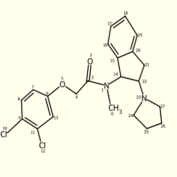 CN(C(=O)COc1ccc(Cl)c(Cl)c1)C1c2ccccc2CC1N1CCCC1